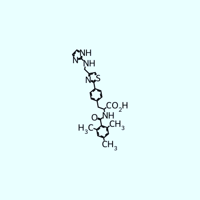 Cc1cc(C)c(C(=O)NC(Cc2ccc(-c3nc(CNc4ncc[nH]4)cs3)cc2)C(=O)O)c(C)c1